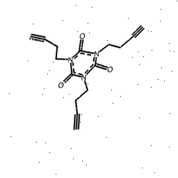 C#CCCn1c(=O)n(CCC#C)c(=O)n(CCC#C)c1=O